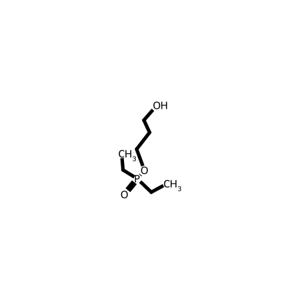 CCP(=O)(CC)OCCCO